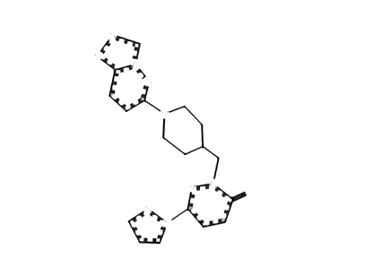 O=c1ccc(-n2cccn2)nn1CC1CCN(c2ccc3nncn3n2)CC1